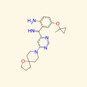 CC1(Oc2ccc(N)c(C(=N)c3cc(N4CCC5(CCCO5)CC4)ncn3)c2)CC1